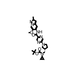 COc1cn2nc(C)cc2cc1NC(=O)c1cnc(N2CC[C@H](CN(C(=O)OC(C)(C)C)C3CC3)C2)cn1